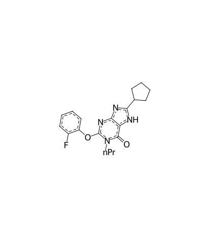 CCCn1c(Oc2ccccc2F)nc2nc(C3CCCC3)[nH]c2c1=O